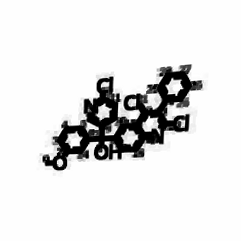 COc1cccc(C(O)(c2ccc(Cl)nc2)c2ccc3nc(Cl)c(-c4ccccc4)c(Cl)c3c2)c1